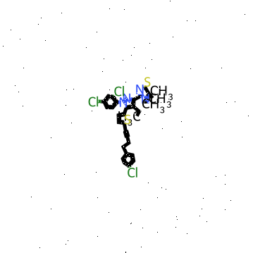 CCc1c(C2=NC(=S)C(C)(C)N2C)nn(-c2ccc(Cl)cc2Cl)c1-c1ccc(C#CCCc2ccc(Cl)cc2)s1